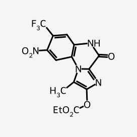 CCOC(=O)Oc1nc2c(=O)[nH]c3cc(C(F)(F)F)c([N+](=O)[O-])cc3n2c1C